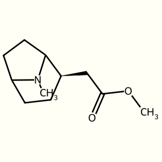 COC(=O)C[C@H]1CCC2CCC1N2C